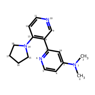 CN(C)c1ccnc(-c2cnccc2N2CCCC2)c1